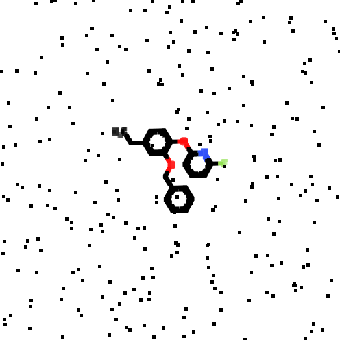 CCc1ccc(Oc2cccc(F)n2)c(OCc2ccccc2)c1